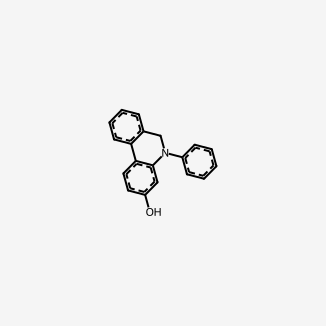 Oc1ccc2c(c1)N(c1ccccc1)Cc1ccccc1-2